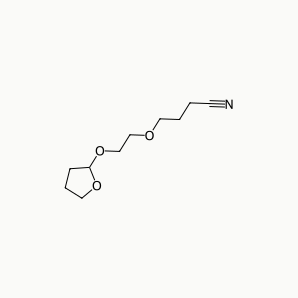 N#CCCCOCCOC1CCCO1